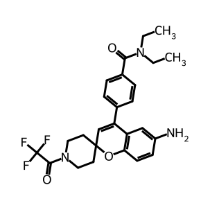 CCN(CC)C(=O)c1ccc(C2=CC3(CCN(C(=O)C(F)(F)F)CC3)Oc3ccc(N)cc32)cc1